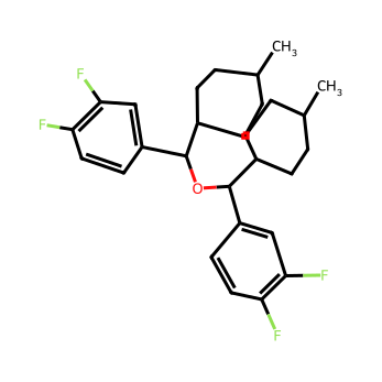 CC1CCC(C(OC(c2ccc(F)c(F)c2)C2CCC(C)CC2)c2ccc(F)c(F)c2)CC1